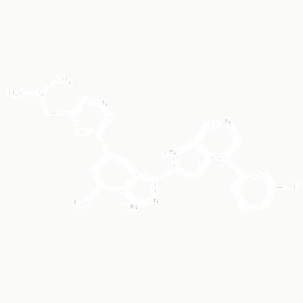 Cc1cc(-c2cncc(CN(C)C)c2)cc2c(-c3cc4c(-c5cccc(F)c5)cncc4[nH]3)n[nH]c12